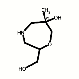 C[C@]1(O)CNCC(CO)OC1